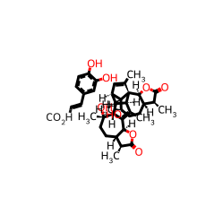 CC1=C[C@@H]2[C@H]3[C@H](C(C)=C4[C@H]5OC(=O)[C@@H](C)[C@@H]5CC[C@](C)(O)[C@@H]43)[C@@]13[C@@H]2[C@@](C)(O)CC[C@H]1[C@H](C)C(=O)O[C@@H]13.O=C(O)/C=C/c1ccc(O)c(O)c1